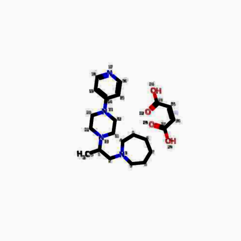 CC(CN1CCCCCC1)N1CCN(c2ccncc2)CC1.O=C(O)/C=C\C(=O)O